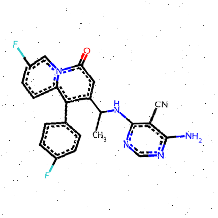 CC(Nc1ncnc(N)c1C#N)c1cc(=O)n2cc(F)ccc2c1-c1ccc(F)cc1